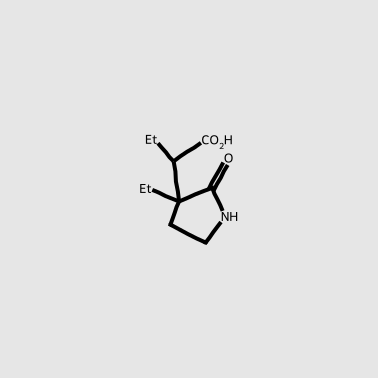 CCC(C(=O)O)C1(CC)CCNC1=O